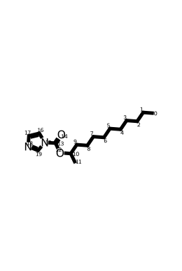 CCCCCCCCCCC(C)OC(=O)n1ccnc1